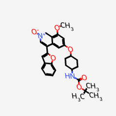 COc1cc(OC2CCC(NC(=O)OC(C)(C)C)CC2)cc2c(-c3cc4ccccc4o3)c[n+]([O-])cc12